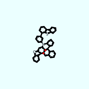 c1cc(-c2cccc3c2sc2ccccc23)cc(N(c2ccc3c(c2)oc2ccccc23)c2ccccc2-c2cccc3ccccc23)c1